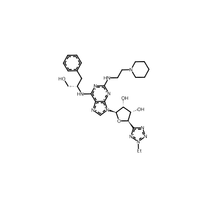 CCn1nnc([C@H]2O[C@@H](n3cnc4c(N[C@H](CO)Cc5ccccc5)nc(NCCN5CCCCC5)nc43)[C@H](O)[C@@H]2O)n1